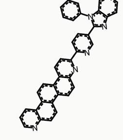 c1ccc(-n2c(-c3ccc(-c4ccc5c(ccc6c5ccc5c7cccnc7ccc56)n4)nc3)nc3ccccc32)cc1